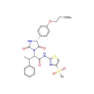 CCS(=O)(=O)c1csc(NC(=O)C(C(C)c2ccccc2)N2C(=O)N[C@H](c3ccc(OCCOC)cc3)C2=O)n1